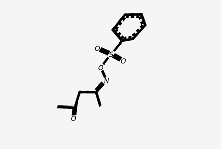 CC(=O)CC(C)=NOS(=O)(=O)c1ccccc1